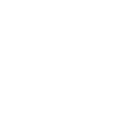 O=C(Nc1ccccc1)Nc1ccc(Cl)cc1C(=O)O